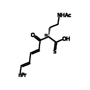 CCCC=CC=CC(=O)[C@H](CCNC(C)=O)C(O)=S